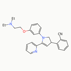 CCN(CC)CCOc1cccc(N2CC(c3ccccc3C#N)C=C2c2ccccn2)c1